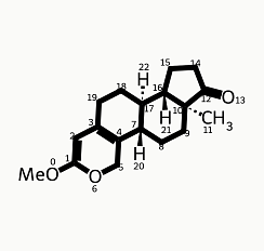 COC1=CC2=C(CO1)[C@H]1CC[C@]3(C)C(=O)CC[C@H]3[C@@H]1CC2